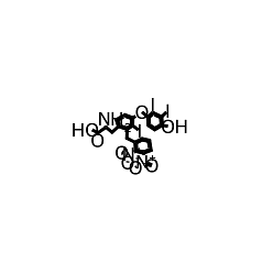 NC(Cc1ccc(Oc2ccc(O)c(I)c2I)c(I)c1Cc1cccc([N+](=O)[O-])c1[N+](=O)[O-])C(=O)O